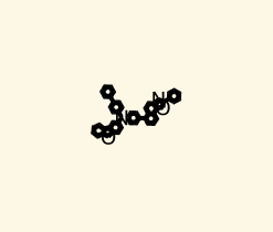 c1ccc(-c2ccc(N(c3ccc(-c4cccc5c4ccc4nc(-c6ccccc6)oc45)cc3)c3ccc4oc5ccccc5c4c3)cc2)cc1